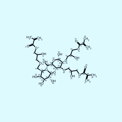 C=C(C)C(=O)OCC(O)COC[C@H]1O[C@@H](O[C@H]2[C@H](OCC(O)COC(=O)C(=C)C)[C@@H](OCC(O)COC(=O)C(=C)C)[C@@H](O)O[C@@H]2CO)[C@H](O)[C@@H](O)[C@H]1O